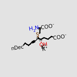 CCCCCCCCCCCCC#C[C@@H](SC[C@H](N)C(=O)[O-])[C@@H](O)CCCC(=O)[O-].[K+].[K+]